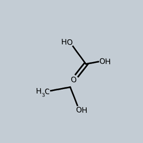 CCO.O=C(O)O